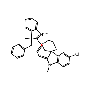 CN1/C(=C/C=C/C2=[N+](C)c3ccccc3C2(C)Cc2ccccc2)C2(CCCCC2)c2cc(Cl)ccc21